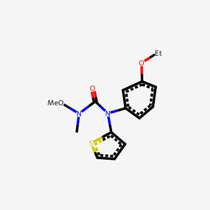 CCOc1cccc(N(C(=O)N(C)OC)c2cccs2)c1